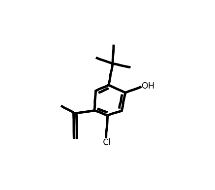 C=C(C)c1cc(C(C)(C)C)c(O)cc1Cl